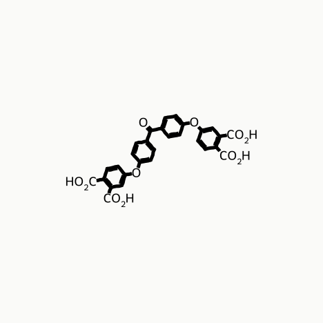 O=C(c1ccc(Oc2ccc(C(=O)O)c(C(=O)O)c2)cc1)c1ccc(Oc2ccc(C(=O)O)c(C(=O)O)c2)cc1